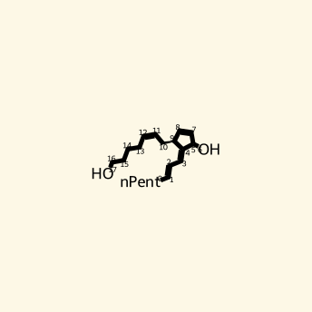 CCCCC/C=C/C=C1/C(O)C=C[C@@H]1C/C=C\CCCCO